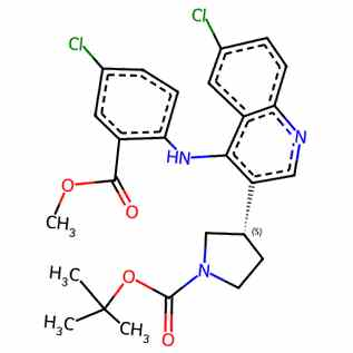 COC(=O)c1cc(Cl)ccc1Nc1c([C@@H]2CCN(C(=O)OC(C)(C)C)C2)cnc2ccc(Cl)cc12